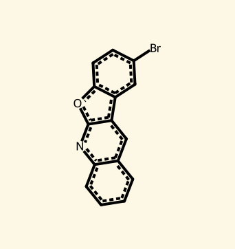 Brc1ccc2oc3nc4ccccc4cc3c2c1